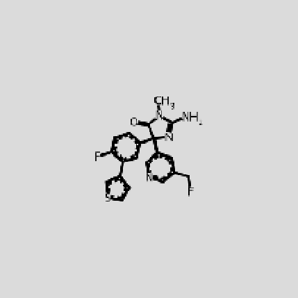 CN1C(=O)C(c2cncc(CF)c2)(c2ccc(F)c(-c3ccsc3)c2)N=C1N